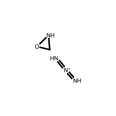 C1NO1.N=[N+]=N